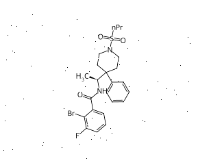 CCCS(=O)(=O)N1CCC(c2ccccc2)([C@H](C)NC(=O)c2cccc(F)c2Br)CC1